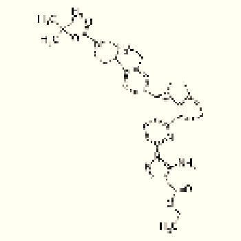 CCOC(=O)c1cnn(-c2cccc(-c3cccc4c3[C@@H](Cc3ccc(C5CCN(C(=O)OC(C)(C)C)CC5)c(CC)c3)CC4)n2)c1N